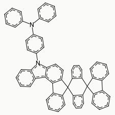 c1ccc(N(c2ccccc2)c2ccc(-n3c4ccccc4c4c5c(ccc43)C3(c4ccccc4-5)c4ccccc4C4(c5ccccc5-c5ccccc54)c4ccccc43)cc2)cc1